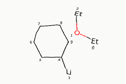 CCOCC.[Li][CH]1CCCCC1